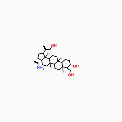 C=C(CO)[C@@H]1CC[C@]2(C(=C)N)CC[C@]3(C)C(CC[C@@H]4[C@@]5(C)CC[C@H](O)[C@@](C)(CO)[C@@H]5CC[C@]43C)[C@@H]12